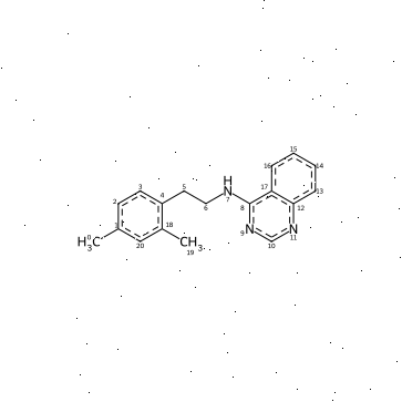 Cc1ccc(CCNc2ncnc3ccccc23)c(C)c1